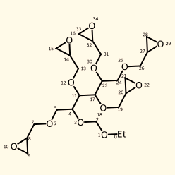 CCOCOC(COCC1CO1)C(OCC1CO1)C(OCC1CO1)C(COCC1CO1)OCC1CO1